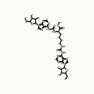 CCC1OC(n2cnc3c(NC(=O)NCCCCC(NC(=O)Nc4ncnc5c4ncn5C4OC(CC)C(C)C4C)C(=O)OC)ncnc32)C(C)C1C